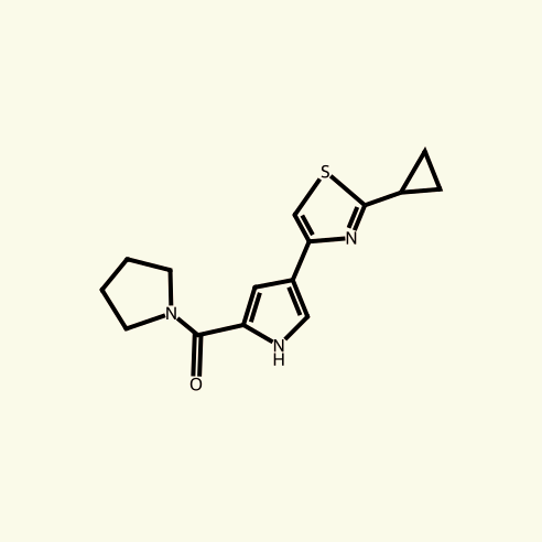 O=C(c1cc(-c2csc(C3CC3)n2)c[nH]1)N1CCCC1